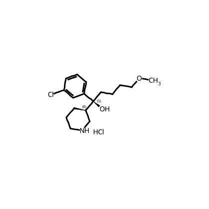 COCCCC[C@@](O)(c1cccc(Cl)c1)[C@@H]1CCCNC1.Cl